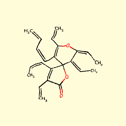 C=C/C=C\C1=C(C=C)OC(=C/C)/C(=C\C)C12OC(=O)C(C=C)=C2/C=C\C